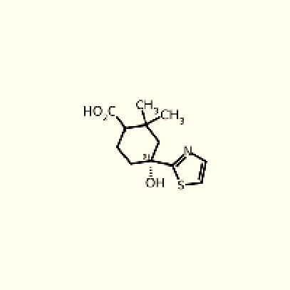 CC1(C)C[C@@](O)(c2nccs2)CCC1C(=O)O